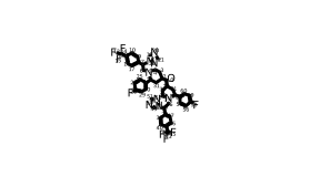 O=C(C1CCN(CC(c2ccc(C(F)(F)F)cc2)n2cncn2)C(c2ccc(F)cc2)C1)C1CCN(CC(c2ccc(C(F)(F)F)cc2)n2cncn2)C(c2ccc(F)cc2)C1